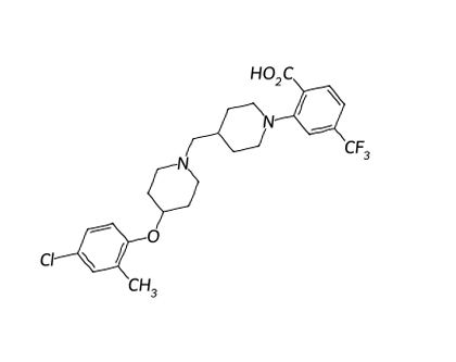 Cc1cc(Cl)ccc1OC1CCN(CC2CCN(c3cc(C(F)(F)F)ccc3C(=O)O)CC2)CC1